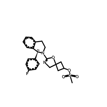 CS(=O)(=O)OC1CC2(CN=C(N3CCc4ccccc4[C@@H]3c3ccc(F)cc3)O2)C1